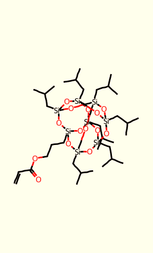 C=CC(=O)OCCC[Si]12O[Si]3(CC(C)C)O[Si]4(CC(C)C)O[Si](CC(C)C)(O1)O[Si]1(CC(C)C)O[Si](CC(C)C)(O2)O[Si](CC(C)C)(O3)O[Si](CC(C)C)(O4)O1